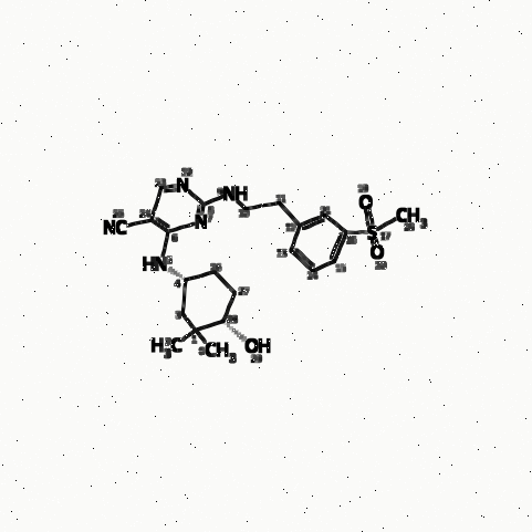 CC1(C)C[C@H](Nc2nc(NCCc3cccc(S(C)(=O)=O)c3)ncc2C#N)CC[C@@H]1O